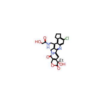 CC[C@@]1(O)C(=O)OCc2c1cc1n(c2=O)Cc2c-1nc1cc(Cl)c3c(c1c2CNC(=O)CO)CCC3